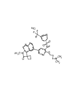 CN(C)CCCOc1ncc(-c2ccc3ncc4c(c3c2)C2(CCC2)C(=O)N4C)cc1NS(=O)(=O)c1cncc(C(F)(F)F)c1.Cl